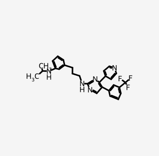 CC(C)Nc1cccc(CCCNc2ncc(-c3cccc(C(F)(F)F)c3)c(-c3ccncc3)n2)c1